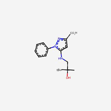 CC(C)(C)C(C)(O)CNc1cc(C(=O)O)nn1-c1ccccc1